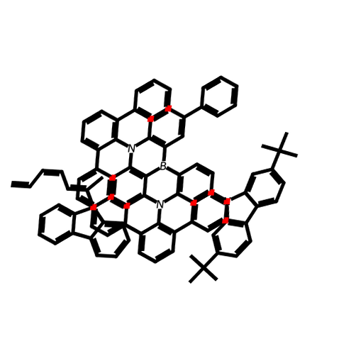 C=C/C=C\C=C(/C)C1(c2cc3c4c(c2)N(c2c(-c5ccccc5)cccc2-c2ccccc2)c2cc(-n5c6cc(C(C)(C)C)ccc6c6ccc(C(C)(C)C)cc65)ccc2B4c2cc(-c4ccccc4)ccc2N3c2c(-c3ccccc3)cccc2-c2ccccc2)c2ccccc2-c2ccccc21